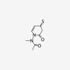 CC(=O)N(C)N1C=CC(=S)CC1=O